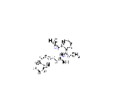 C/C=C\c1ncccc1/C(CC)=N/C(=N)CCc1ccc2ccccc2n1